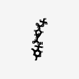 Cc1cc(C)c(C(C)(C)NC(=O)C2C3CN(C(=O)OC(C)(C)C)CC32)cn1